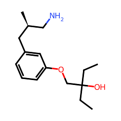 CCC(O)(CC)COc1cccc(C[C@@H](C)CN)c1